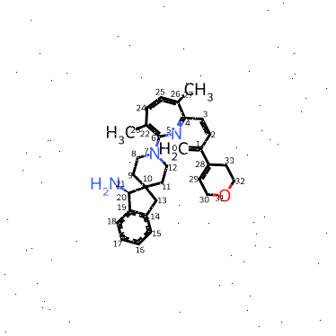 C=C(/C=C\C1=NC(N2CCC3(CC2)Cc2ccccc2[C@H]3N)=C(C)C=C=C1C)C1=CCOCC1